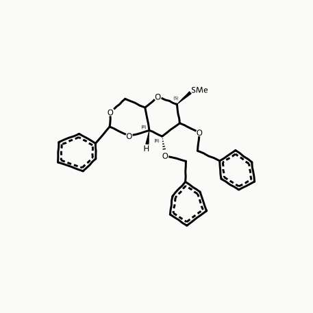 CS[C@@H]1OC2COC(c3ccccc3)O[C@H]2[C@@H](OCc2ccccc2)C1OCc1ccccc1